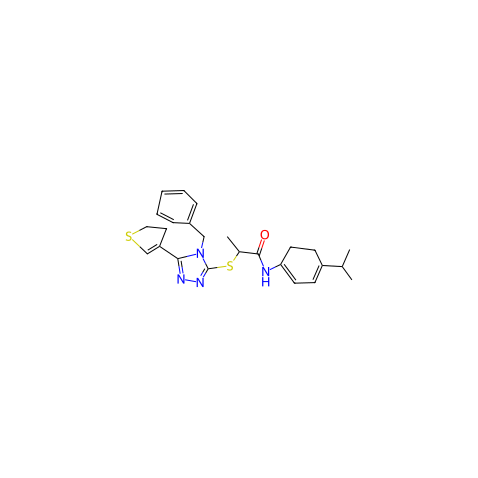 CC(C)C1=CC=C(NC(=O)C(C)Sc2nnc(C3=CSCC3)n2Cc2ccccc2)CC1